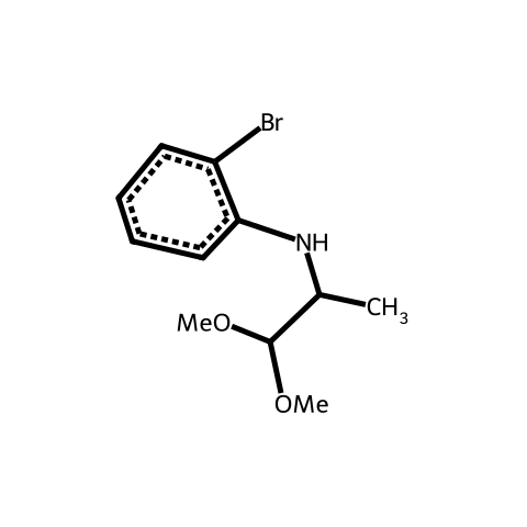 COC(OC)C(C)Nc1ccccc1Br